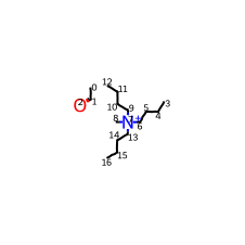 CC=O.CCCC[N+](C)(CCCC)CCCC